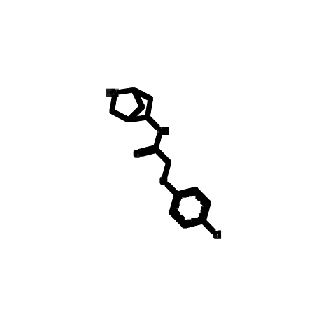 O=C(COc1ccc(Cl)cc1)NC1CC2CC1CN2